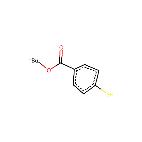 CCCCOC(=O)c1ccc(S)cc1